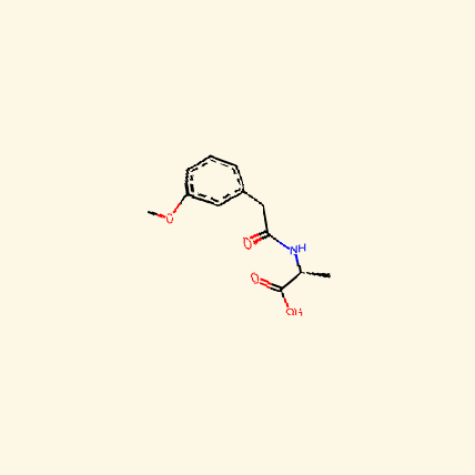 COc1cccc(CC(=O)N[C@@H](C)C(=O)O)c1